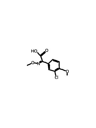 CON=C(C(=O)O)c1ccc(OC)c(Cl)c1